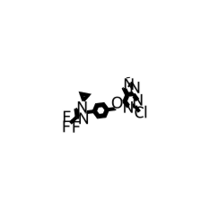 Cn1cc2c(OCc3ccc(-c4nc(C(F)(F)F)cn4C4CC4)cc3)nc(Cl)nc2n1